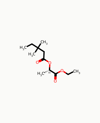 CCOC(=O)[C@H](C)OC(=O)CC(C)(C)CC